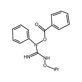 CC(C)ONC(=N)N(OC(=O)c1ccccc1)c1ccccc1